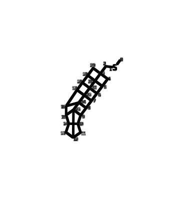 CSCC12CC3C4C5C6C7C8CC9CC8C8C%10C%11C%12C(C1)C32C4%12C5%11C6%10C978